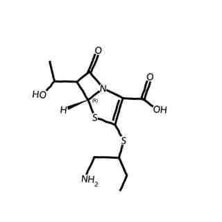 CCC(CN)SC1=C(C(=O)O)N2C(=O)C(C(C)O)[C@H]2S1